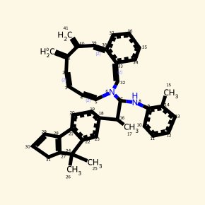 C=C1/C=C\C=C/N(C(Nc2ccccc2C)C(C)c2ccc3c(c2)C(C)(C)C2=C3C=CC2)/C=c2/cccc/c2=C/C1=C